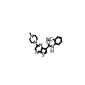 CN1CCN(c2cnc3scc(C(=O)Nc4ccccc4C#N)c3n2)CC1